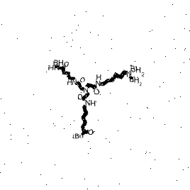 BNC(=O)CCCCNC(=O)CN(CC(=O)NCCCCCCN(B)B)CC(=O)NCCCCCC(=O)C(C)(C)C